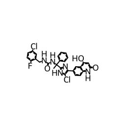 CC(NC(=O)NCc1cc(Cl)ccc1F)(c1ccccc1)c1nc(-c2ccc3[nH]c(=O)cc(O)c3c2)c(Cl)[nH]1